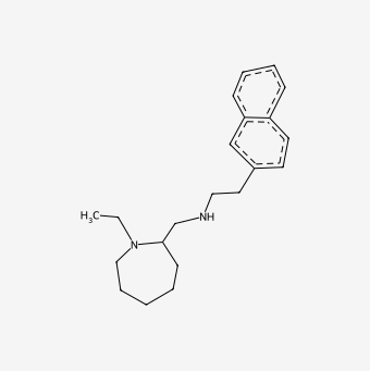 CCN1CCCCCC1CNCCc1ccc2ccccc2c1